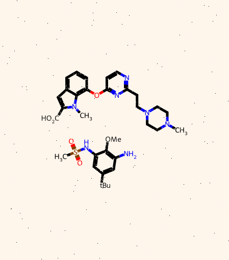 CN1CCN(CCc2nccc(Oc3cccc4cc(C(=O)O)n(C)c34)n2)CC1.COc1c(N)cc(C(C)(C)C)cc1NS(C)(=O)=O